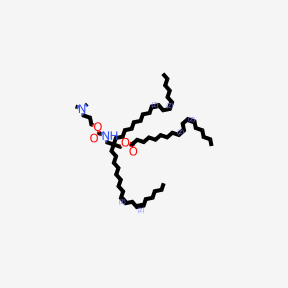 CCCCC/C=C\C/C=C\CCCCCCCCC(CCCCCCCC/C=C\C/C=C\CCCCC)(CNC(=O)OCCCN(C)C)COC(=O)CCCCCCC/C=C\C/C=C\CCCCC